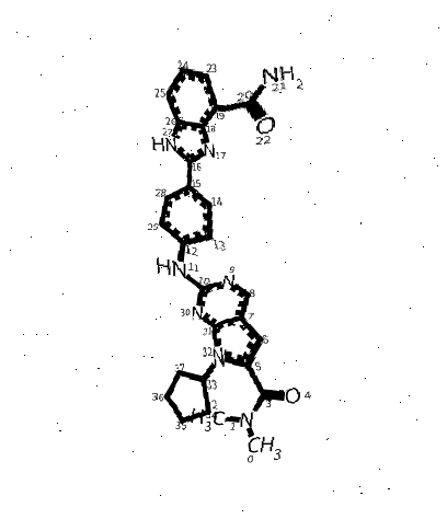 CN(C)C(=O)c1cc2cnc(Nc3ccc(-c4nc5c(C(N)=O)cccc5[nH]4)cc3)nc2n1C1CCCC1